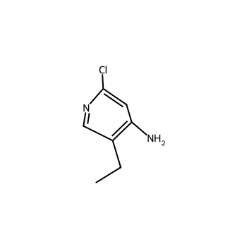 CCc1cnc(Cl)cc1N